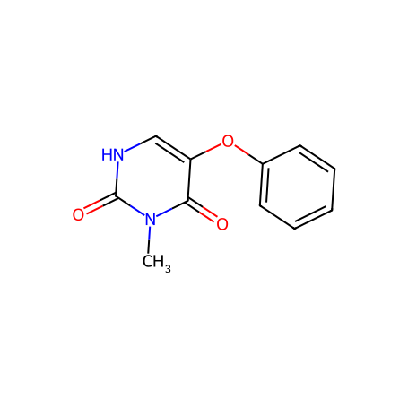 Cn1c(=O)[nH]cc(Oc2ccccc2)c1=O